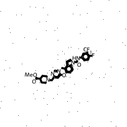 COC(=O)C1CCN(Cc2cc(Oc3ccc4c(ccn4C(=O)Nc4ccc(F)c(C(F)(F)F)c4)c3C)ncn2)CC1